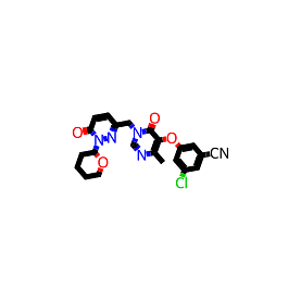 Cc1ncn(Cc2ccc(=O)n(C3CCCCO3)n2)c(=O)c1Oc1cc(Cl)cc(C#N)c1